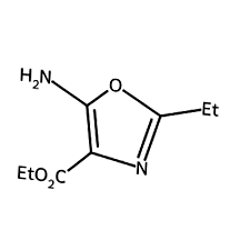 CCOC(=O)c1nc(CC)oc1N